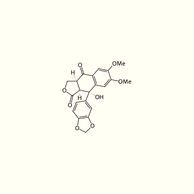 COc1cc2c(cc1OC)[C@@](O)(c1ccc3c(c1)OCO3)[C@H]1C(=O)OC[C@H]1C2=O